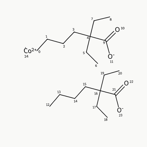 CCCCC(CC)(CC)C(=O)[O-].CCCCC(CC)(CC)C(=O)[O-].[Co+2]